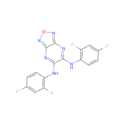 Fc1ccc(Nc2nc3nonc3nc2Nc2ccc(F)cc2F)c(F)c1